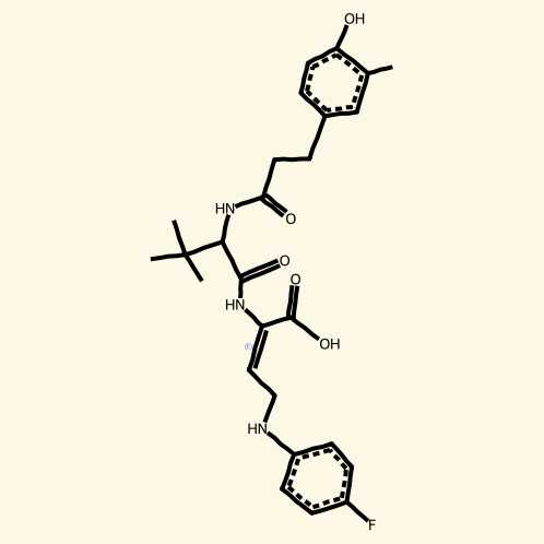 Cc1cc(CCC(=O)NC(C(=O)N/C(=C/CNc2ccc(F)cc2)C(=O)O)C(C)(C)C)ccc1O